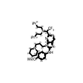 COc1ccc(Nc2nc3cnc(C(N(CCC(C)C)CCC(C)C)C(F)(F)F)nc3n2CCCN2CCCCC2)cc1